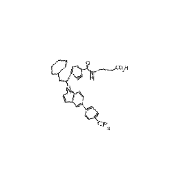 O=C(O)CCNC(=O)c1ccc(C(CC2CCCCC2)n2ccc3cc(-c4ccc(C(F)(F)F)cc4)ccc32)cc1